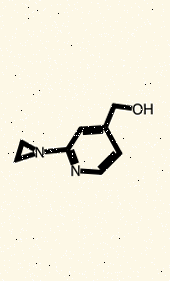 OCc1ccnc(N2CC2)c1